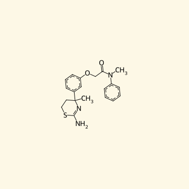 CN(C(=O)COc1cccc(C2(C)CCSC(N)=N2)c1)c1ccccc1